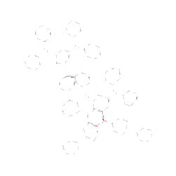 Fc1cc(-c2ccccc2)c(N2c3cc4c(cc3B3c5ccccc5N(c5ccccc5)c5cc(N(c6ccc(-c7ccccc7)cc6)c6ccc(-c7ccccc7)cc6)cc2c53)B2c3ccccc3N(c3ccccc3)c3cc(N(c5ccccc5)c5ccccc5)cc(c32)S4)c(-c2ccccc2)c1